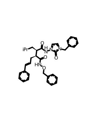 CC(C)C[C@@H](C(=O)Nn1ccn(Cc2ccccc2)c1=O)[C@H](C/C=C/c1ccccc1)C(=O)NOCc1ccccc1